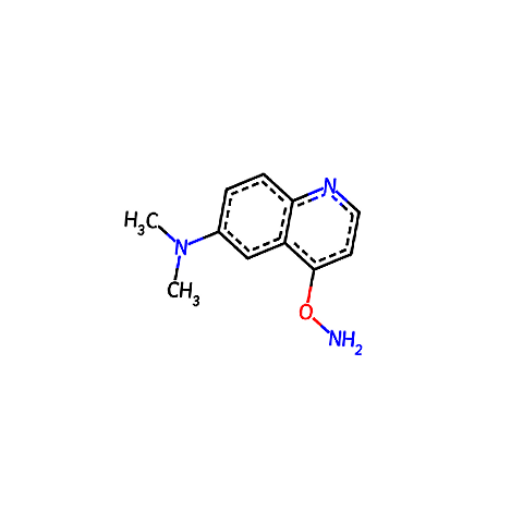 CN(C)c1ccc2nccc(ON)c2c1